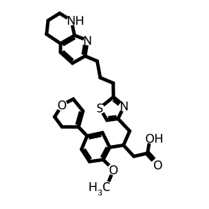 COc1ccc(C2=CCOCC2)cc1C(CC(=O)O)Cc1csc(CCCc2ccc3c(n2)NCCC3)n1